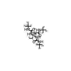 CC[N+](NC(=O)NC(C)(C)C)(NC(=O)NC(C)(C)C)NC(=O)NC(C)(C)C